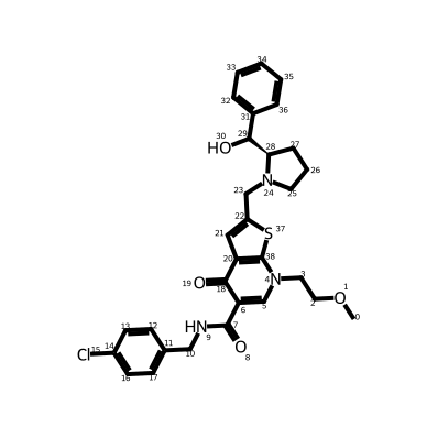 COCCn1cc(C(=O)NCc2ccc(Cl)cc2)c(=O)c2cc(CN3CCC[C@@H]3C(O)c3ccccc3)sc21